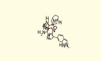 CC(=O)c1c([C@@H]2CC3CC[C@@H](C2)N3C(=O)c2nnc[nH]2)nc2c(C3=CC4NN(C)C=C4C=C3)cnn2c1N